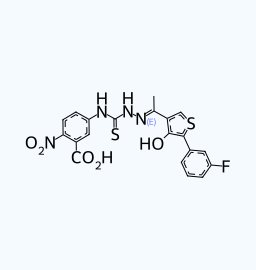 C/C(=N\NC(=S)Nc1ccc([N+](=O)[O-])c(C(=O)O)c1)c1csc(-c2cccc(F)c2)c1O